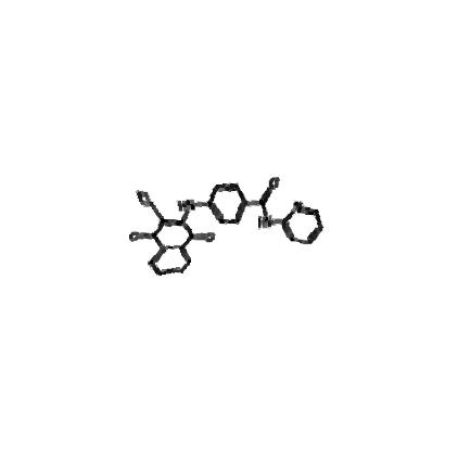 O=C(Nc1ccccn1)c1ccc(NC2=C(Cl)C(=O)c3ccccc3C2=O)cc1